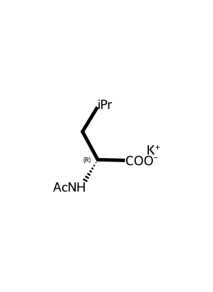 CC(=O)N[C@H](CC(C)C)C(=O)[O-].[K+]